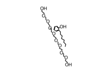 CCCCCCCCc1ccccc1O.OCCOCCOCCOCCOCCOCCOCCOCCOCCO